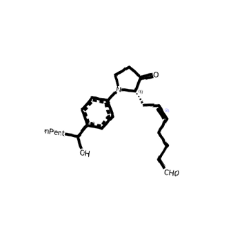 CCCCCC(O)c1ccc(N2CCC(=O)[C@@H]2C/C=C\CCCC=O)cc1